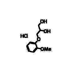 COc1ccccc1OCC(O)CO.Cl